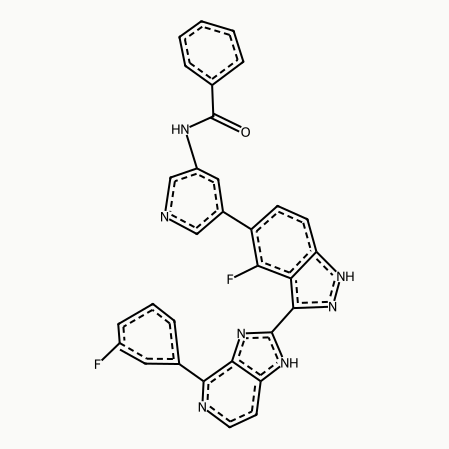 O=C(Nc1cncc(-c2ccc3[nH]nc(-c4nc5c(-c6cccc(F)c6)nccc5[nH]4)c3c2F)c1)c1ccccc1